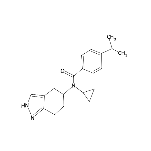 CC(C)c1ccc(C(=O)N(C2CC2)C2CCc3n[nH]cc3C2)cc1